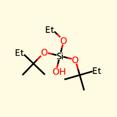 CCO[Si](O)(OC(C)(C)CC)OC(C)(C)CC